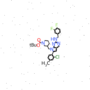 Cc1ccc(-c2cc3cnc(NCc4ccc(F)c(F)c4)nc3n2CC2CCCN(C(=O)OC(C)(C)C)C2)c(Cl)c1